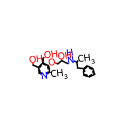 Cc1ncc(CO)c(CO)c1OCC(O)CNC(C)Cc1ccccc1